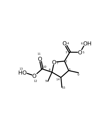 CC1C(C(=O)OO)OC(C)(C(=O)OO)C1C